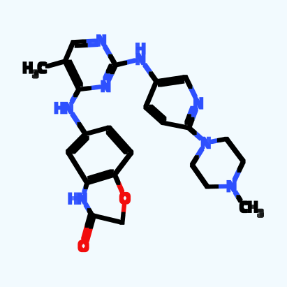 Cc1cnc(Nc2ccc(N3CCN(C)CC3)nc2)nc1Nc1ccc2c(c1)NC(=O)CO2